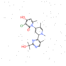 CC1=CN(C)C(c2nc(C(C)(C)O)ncc2C)C=C1n1c(C)cc(O)c(Cl)c1=O